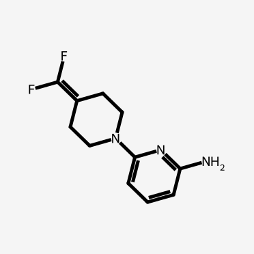 Nc1cccc(N2CCC(=C(F)F)CC2)n1